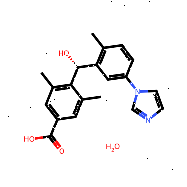 Cc1ccc(-n2ccnc2)cc1[C@@H](O)c1c(C)cc(C(=O)O)cc1C.O